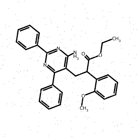 CCOC(=O)C(Cc1c(N)nc(-c2ccccc2)nc1-c1ccccc1)c1ccccc1OC